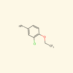 [CH2]CCc1ccc(OCC(F)(F)F)c(Cl)c1